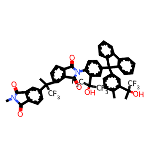 Cc1ccc(C2(c3ccc(N4C(=O)c5ccc(C(C)(c6ccc7c(c6)C(=O)N(C)C7=O)C(F)(F)F)cc5C4=O)c(C(O)(C(F)(F)F)C(F)(F)F)c3)c3ccccc3-c3ccccc32)cc1C(C)(O)C(F)(F)F